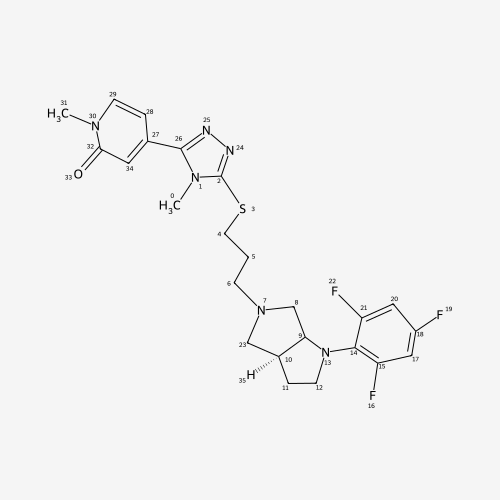 Cn1c(SCCCN2CC3[C@@H](CCN3c3c(F)cc(F)cc3F)C2)nnc1-c1ccn(C)c(=O)c1